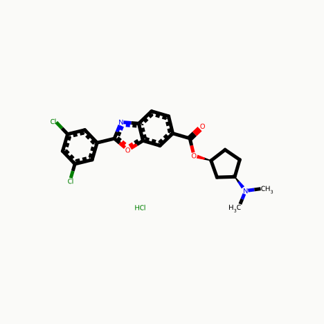 CN(C)[C@@H]1CC[C@H](OC(=O)c2ccc3nc(-c4cc(Cl)cc(Cl)c4)oc3c2)C1.Cl